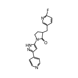 O=C1C(Cc2ccc(F)nc2)CCN1c1cc(-c2ccncc2)n[nH]1